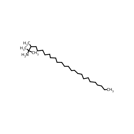 CCCCCCCCCCCCCCCCCCCCCCCC(C)C(C)(C)N